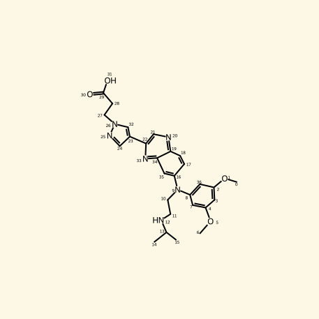 COc1cc(OC)cc(N(CCNC(C)C)c2ccc3ncc(-c4cnn(CCC(=O)O)c4)nc3c2)c1